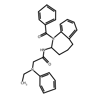 CCN(CC(=O)NC1CCCc2ccccc2N1C(=O)c1ccccc1)c1ccccc1